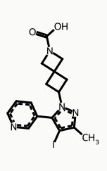 Cc1nn(C2CC3(C2)CN(C(=O)O)C3)c(-c2cccnc2)c1I